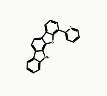 c1ccc(-c2cccc3c2sc2c3ccc3c4ccccc4[nH]c32)nc1